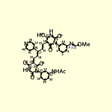 CO/C=N/c1cccc(-n2c(=O)[nH]c(O)c(C=CC(=CC=C3C(=O)NC(=O)N(c4cccc(NC(C)=O)c4)C3=O)c3ccncc3)c2=O)c1